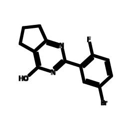 Oc1nc(-c2cc(Br)ccc2F)nc2c1CCC2